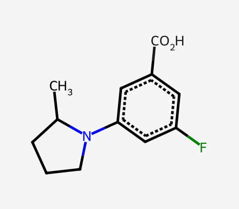 CC1CCCN1c1cc(F)cc(C(=O)O)c1